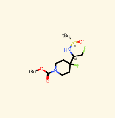 CC(C)(C)OC(=O)N1CCC(F)([C@H](CF)N[S@@+]([O-])C(C)(C)C)CC1